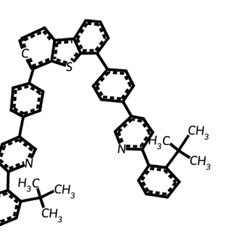 CC(C)(C)c1ccccc1-c1ccc(-c2ccc(-c3cccc4c3sc3c(-c5ccc(-c6ccc(-c7ccccc7C(C)(C)C)nc6)cc5)cccc34)cc2)cn1